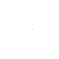 C[C@H](O)[C@H](C1=CC1)N1C(=O)C(CC(=O)O)CC[C@H]1c1ccc(Cl)cc1